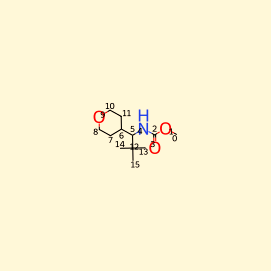 COC(=O)NC(C1CCOCC1)C(C)(C)C